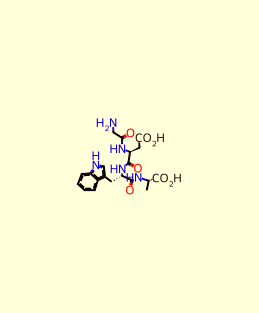 C[C@H](NC(=O)[C@H](Cc1c[nH]c2ccccc12)NC(=O)[C@H](CC(=O)O)NC(=O)CN)C(=O)O